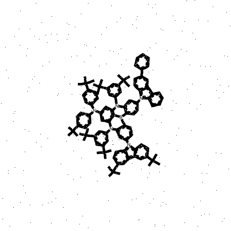 CC(C)(C)c1ccc(N(c2ccc(C(C)(C)C)cc2)c2cc3c4c(c2)N(c2cc(C(C)(C)C)cc(C(C)(C)C)c2)c2cc(-n5c6ccc(C(C)(C)C)cc6c6cc(C(C)(C)C)ccc65)ccc2B4c2ccc(-n4c5ccccc5c5cc(-c6ccccc6)ccc54)cc2N3c2cc(C(C)(C)C)cc(C(C)(C)C)c2)cc1